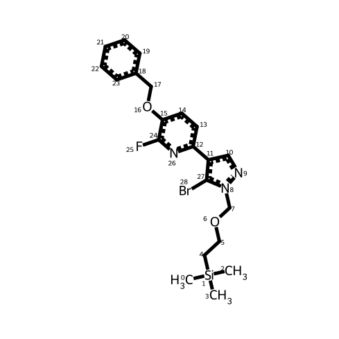 C[Si](C)(C)CCOCn1ncc(-c2ccc(OCc3ccccc3)c(F)n2)c1Br